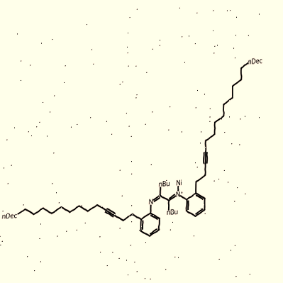 CCCCCCCCCCCCCCCCCCCC#CCCc1ccccc1N=C(CCCC)C(CCCC)=[N+]([Ni])c1ccccc1CCC#CCCCCCCCCCCCCCCCCCCC